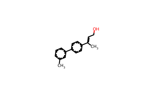 CC(=CCO)c1ccc(-c2cccc(C)c2)cc1